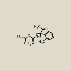 CC(=O)C1(c2ccccc2C)CN(C(=O)OC(C)C)C1